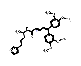 COc1ccc(C(=C/C=C/C(=O)NC(C)CCCc2ccoc2)c2ccc(OC)c(OC)c2)cc1OC